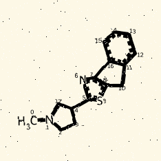 CN1CCC(c2nc3c(s2)Cc2ccccc2-3)C1